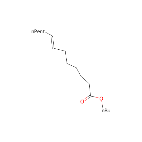 CCCCC/C=C/CCCCCC(=O)OCCCC